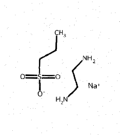 CCCS(=O)(=O)[O-].NCCN.[Na+]